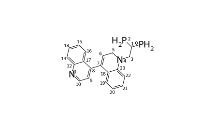 PC(P)CN1CC=C(c2ccnc3ccccc23)c2ccccc21